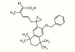 CCC(C(=O)O)=C(C)C=CCC1(c2cc3c(cc2OCc2ccccc2)C(C)(C)CCC3(C)C)CC1